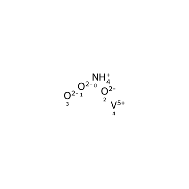 [NH4+].[O-2].[O-2].[O-2].[V+5]